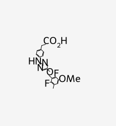 COc1cc(C)c(F)c(COc2cnc(Nc3ccc(CCC(=O)O)cc3)nc2)c1F